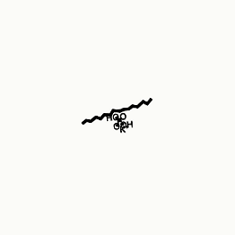 CCCCCCCCCCCCCCCC.O=P([O-])(O)O.[K+]